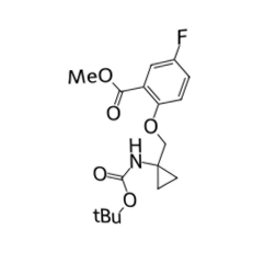 COC(=O)c1cc(F)ccc1OCC1(NC(=O)OC(C)(C)C)CC1